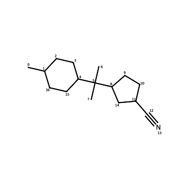 CC1CCC(C(C)(C)C2CCC(C#N)C2)CC1